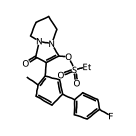 CCS(=O)(=O)Oc1c(-c2cc(-c3ccc(F)cc3)ccc2C)c(=O)n2n1CCCC2